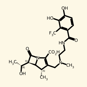 C[C@H]1C(CN(C)CCNC(=O)c2ccc(O)c(O)c2C(F)(F)F)=C(C(=O)O)N2C(=O)[C@H]([C@@H](C)O)C12